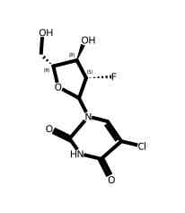 O=c1[nH]c(=O)n(C2O[C@H](CO)[C@@H](O)[C@@H]2F)cc1Cl